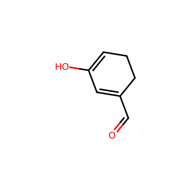 O=CC1=CC(O)=CCC1